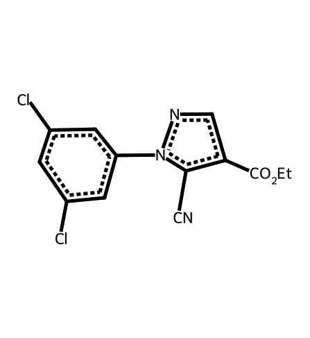 CCOC(=O)c1cnn(-c2cc(Cl)cc(Cl)c2)c1C#N